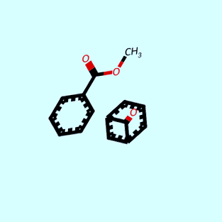 COC(=O)c1ccccc1.O=C1c2cccc1c2